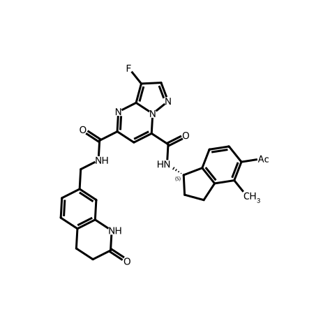 CC(=O)c1ccc2c(c1C)CC[C@@H]2NC(=O)c1cc(C(=O)NCc2ccc3c(c2)NC(=O)CC3)nc2c(F)cnn12